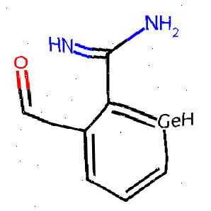 N=C(N)[C]1=[GeH][CH]=CC=C1C=O